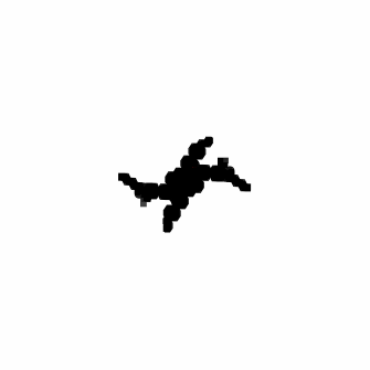 CCCCCCOc1ccc(-c2ccc(C(=O)Oc3c(-c4ccc(C5CCC(CCC)CC5)cc4)cc4ccccc4c3-c3c(OC(=O)c4ccc(-c5ccc(OCCCCCC)c(F)c5)cc4)c(-c4ccc(C5CCC(CCC)CC5)cc4)cc4ccccc34)cc2)cc1F